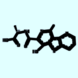 Cc1nc(C(=O)N[C@@H](C)C(=O)O)c(O)c2sc3cccnc3c12